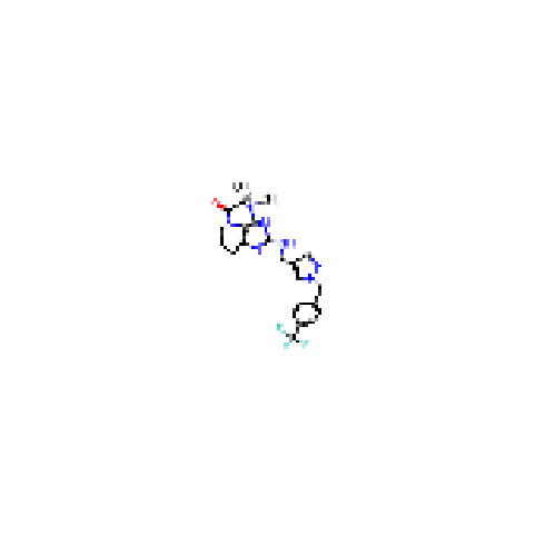 C[C@H]1C(=O)N2CCCc3nc(NCc4cnn(Cc5ccc(C(F)(F)F)cc5)c4)nc(c32)N1C